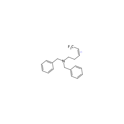 FC(F)(F)/C=C\CCN(Cc1ccccc1)Cc1ccccc1